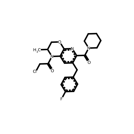 CC1COc2nc(C(=O)N3CCCCC3)c(Cc3ccc(F)cc3)cc2N1C(=O)CCl